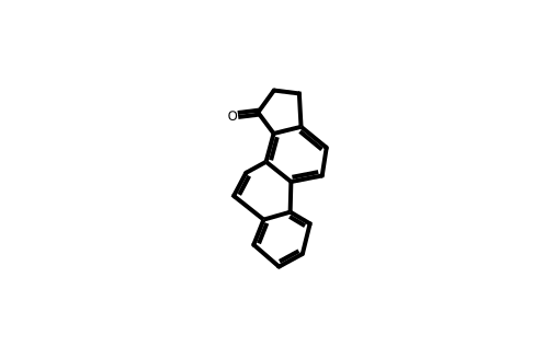 O=C1CCc2ccc3c(ccc4ccccc43)c21